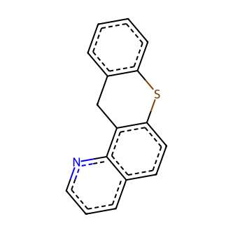 c1ccc2c(c1)Cc1c(ccc3cccnc13)S2